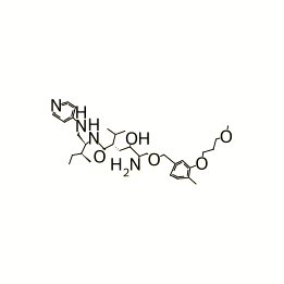 CC[C@H](C)[C@@H](CNc1ccncc1)NC(=O)[C@@H](C[C@H](O)[C@@H](N)COCc1ccc(C)c(OCCCOC)c1)C(C)C